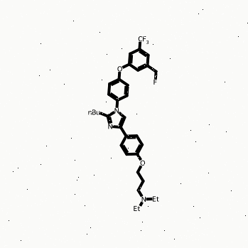 CCCCc1nc(-c2ccc(OCCCN(CC)CC)cc2)cn1-c1ccc(Oc2cc(CF)cc(C(F)(F)F)c2)cc1